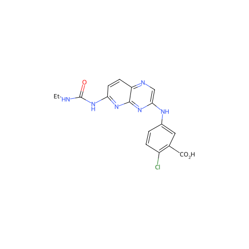 CCNC(=O)Nc1ccc2ncc(Nc3ccc(Cl)c(C(=O)O)c3)nc2n1